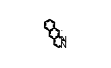 [c]1c2ccccc2cc2ccnnc12